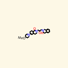 COC1CCN(C2=CC3=C(CC2)C(=O)N(C[C@H](O)CN2CCc4ccccc4C2)CC3)CC1